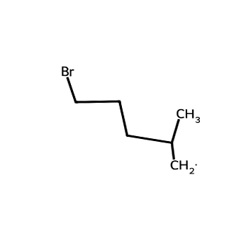 [CH2]C(C)CCCBr